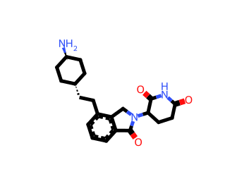 N[C@H]1CC[C@H](CCc2cccc3c2CN(C2CCC(=O)NC2=O)C3=O)CC1